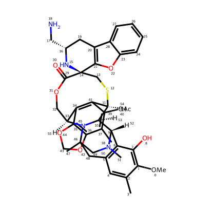 COc1c(C)cc2c(c1O)[C@H]1[C@@H]3[C@@H]4SC[C@]5(N[C@H](CN)Cc6c5oc5ccccc65)C(=O)OC[C@@H](c5c6c(c(C)c(OC(C)=O)c54)OCO6)N3C(C)(C2)CN1C